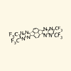 FC(F)(F)c1nc2nc3c(nc2nc1C(F)(F)F)-c1ccc2c4c(ccc-3c14)-c1nc3nc(C(F)(F)F)c(C(F)(F)F)nc3nc1-2